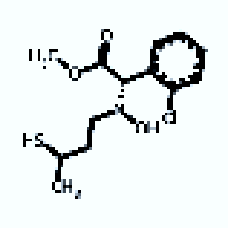 COC(=O)[C@H](c1ccccc1Cl)N(O)CCC(C)S